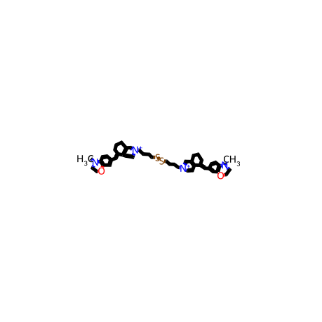 CN1CCOc2cc(/C=C3\CCCc4c[n+](CCCCSSCCCC[n+]5ccc6c(c5)CCC/C6=C\c5ccc6c(c5)OCCN6C)ccc43)ccc21